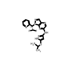 CC(P)Oc1cc(Nc2cnc3cnn([C@@H](c4ccccn4)C(F)F)c3n2)n[nH]1